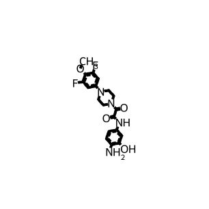 COc1c(F)cc(N2CCN(C(=O)C(=O)Nc3ccc(N)c(O)c3)CC2)cc1F